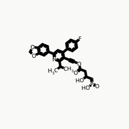 CC(C)c1nc(-c2ccc3c(c2)OCO3)cc(-c2ccc(F)cc2)c1C#COC(=O)CC(O)C[PH](=O)O